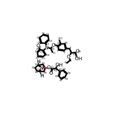 CCOC(Cc1ccc(OC(C)N2c3ccccc3Oc3ccccc32)c(I)c1)C(=O)O.CN1[C@@H]2CC[C@H]1C[C@@H](OC(=O)C(O)c1ccccc1)C2